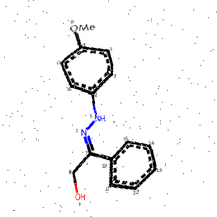 COc1ccc(NN=C(CO)c2ccccc2)cc1